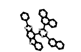 c1ccc(-c2nc3cc4oc5ccccc5c4c(-c4nc(-c5ccc6ccccc6c5)nc(-c5cc6ccccc6c6ccccc56)n4)c3s2)cc1